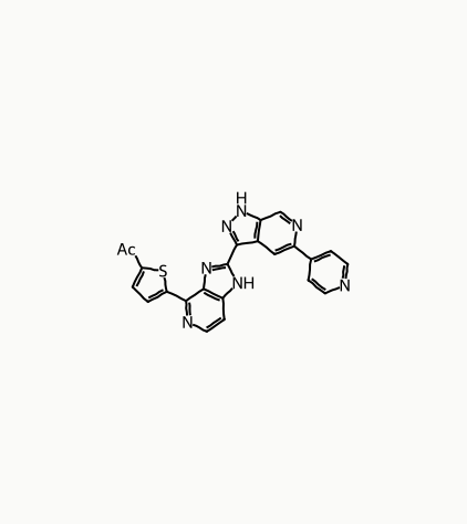 CC(=O)c1ccc(-c2nccc3[nH]c(-c4n[nH]c5cnc(-c6ccncc6)cc45)nc23)s1